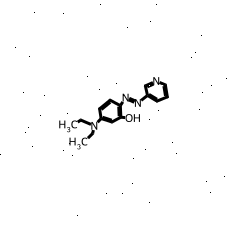 CCN(CC)c1ccc(N=Nc2cccnc2)c(O)c1